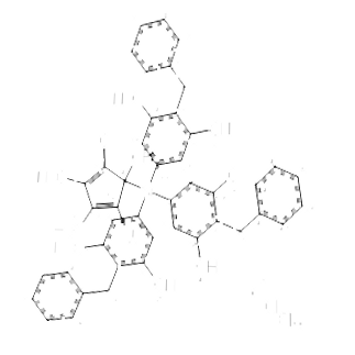 CC1=C(C)C(C)([Si](c2cc(C)c(Cc3ccccc3)c(C)c2)(c2cc(C)c(Cc3ccccc3)c(C)c2)c2cc(C)c(Cc3ccccc3)c(C)c2)[C]([Ti+3])=C1C.[Cl-].[Cl-].[Cl-]